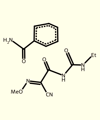 CCNC(=O)NC(=O)/C(C#N)=N/OC.NC(=O)c1ccccc1